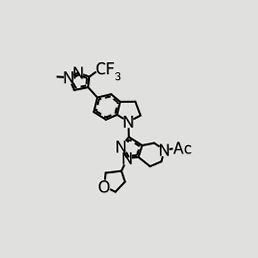 CC(=O)N1CCc2c(c(N3CCc4cc(-c5cn(C)nc5C(F)(F)F)ccc43)nn2C2CCOC2)C1